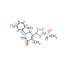 CC1=C(C2CCN(S(C)(=O)=O)C2)C2Nc3ccc(Cl)cc3C2NC1=O